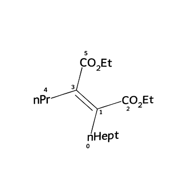 CCCCCCC/C(C(=O)OCC)=C(\CCC)C(=O)OCC